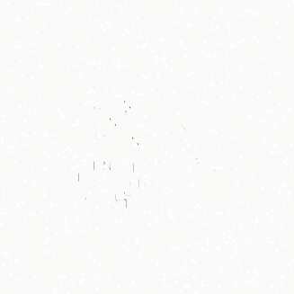 Cn1c(CN(CCN[C@](C)(C(=O)O)C(C)(C)C)C(=O)OCC2c3ccccc3-c3ccccc32)nc2ccccc21